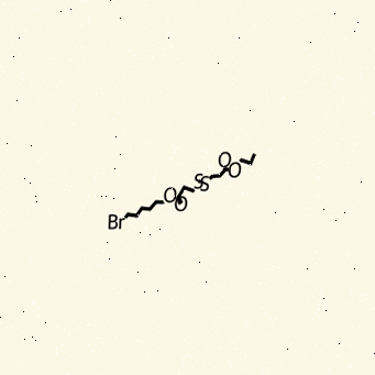 CCCOC(=O)CCSSCCC(=O)OCCCCCCBr